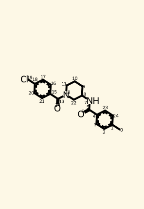 Cc1ccc(C(=O)NC2CCCN(C(=O)c3ccc(Cl)cc3)C2)cc1